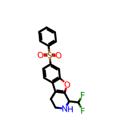 O=S(=O)(c1ccccc1)c1ccc2c3c(oc2c1)C(C(F)F)NCC3